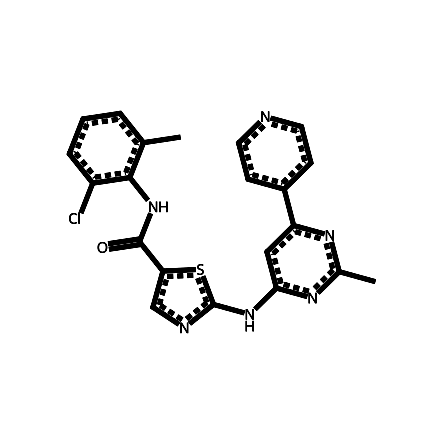 Cc1nc(Nc2ncc(C(=O)Nc3c(C)cccc3Cl)s2)cc(-c2ccncc2)n1